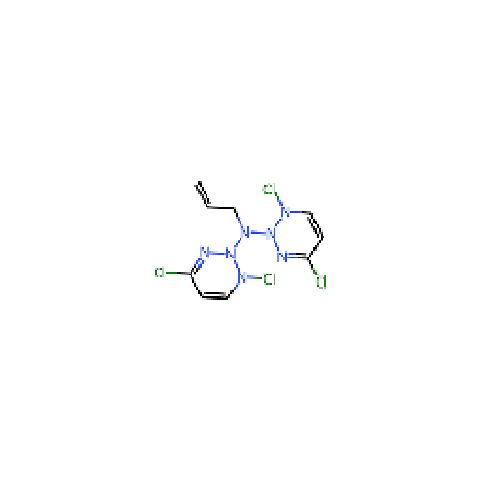 C=CCN(N1N=C(Cl)C=CN1Cl)N1N=C(Cl)C=CN1Cl